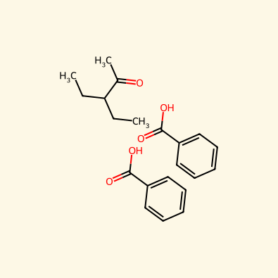 CCC(CC)C(C)=O.O=C(O)c1ccccc1.O=C(O)c1ccccc1